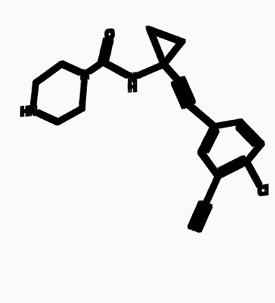 C#Cc1cc(C#CC2(NC(=O)N3CCNCC3)CC2)ccc1Cl